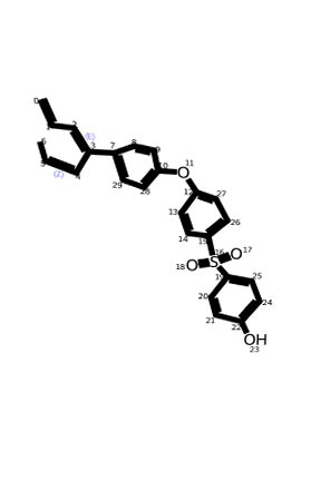 C=C/C=C(\C=C/C)c1ccc(Oc2ccc(S(=O)(=O)c3ccc(O)cc3)cc2)cc1